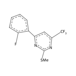 CSc1nc(-c2ccccc2F)cc(C(F)(F)F)n1